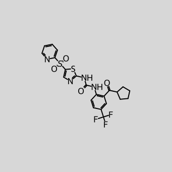 O=C(Nc1ncc(S(=O)(=O)c2ccccn2)s1)Nc1ccc(C(F)(F)F)cc1C(=O)C1CCCC1